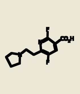 O=C(O)c1cc(F)c(CCN2CCCC2)nc1F